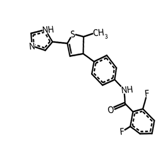 CC1SC(c2cnc[nH]2)=CC1c1ccc(NC(=O)c2c(F)cccc2F)cc1